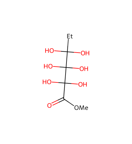 CCC(O)(O)C(O)(O)C(O)(O)C(=O)OC